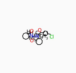 CC(C(=O)[C@@H]1CCCCCC[C@@H]1NC(C)(C)C(=O)c1ccc(CCl)cc1)N1C(=O)[C@@H]2CCCCCC[C@@H]21